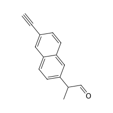 C#Cc1ccc2cc(C(C)C=O)ccc2c1